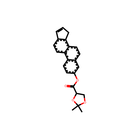 CC1(C)OCC(C(=O)Oc2ccc3c(ccc4c5c(ccc43)C=CC5)c2)O1